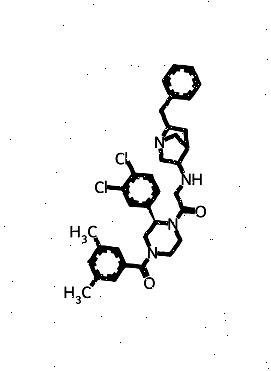 Cc1cc(C)cc(C(=O)N2CCN(C(=O)CNC3CN4CC3CC4Cc3ccccc3)[C@H](c3ccc(Cl)c(Cl)c3)C2)c1